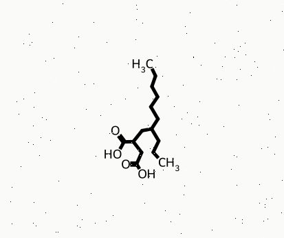 CCCCCCC(CCC)CC(CC(=O)O)C(=O)O